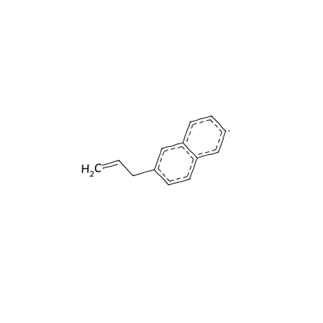 C=CCc1ccc2c[c]ccc2c1